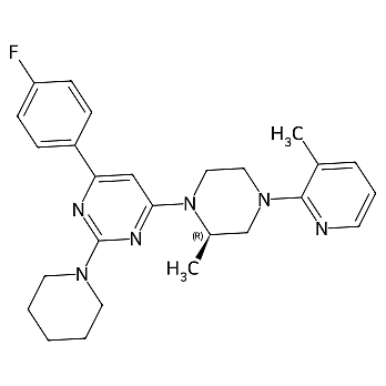 Cc1cccnc1N1CCN(c2cc(-c3ccc(F)cc3)nc(N3CCCCC3)n2)[C@H](C)C1